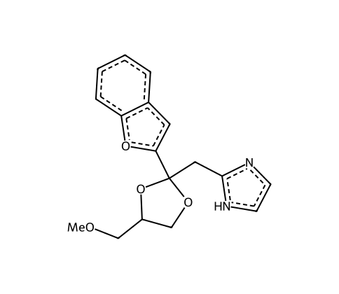 COCC1COC(Cc2ncc[nH]2)(c2cc3ccccc3o2)O1